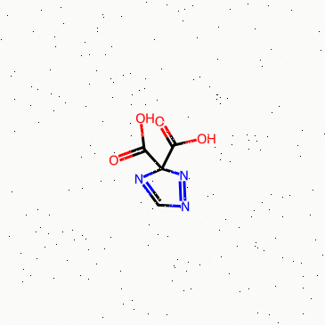 O=C(O)C1(C(=O)O)N=CN=N1